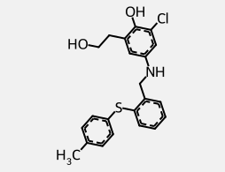 Cc1ccc(Sc2ccccc2CNc2cc(Cl)c(O)c(CCO)c2)cc1